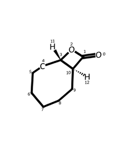 O=C1O[C@H]2CCCCCC[C@H]12